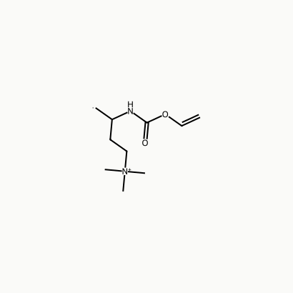 [CH2]C(CC[N+](C)(C)C)NC(=O)OC=C